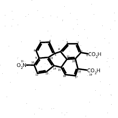 O=C(O)c1ccc2c3cccc4c([N+](=O)[O-])ccc(c5ccc(C(=O)O)c1c25)c43